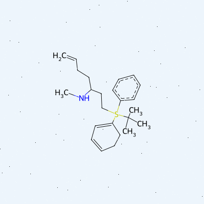 C=CCCC(CCS(C1=CC=CCC1)(c1ccccc1)C(C)(C)C)NC